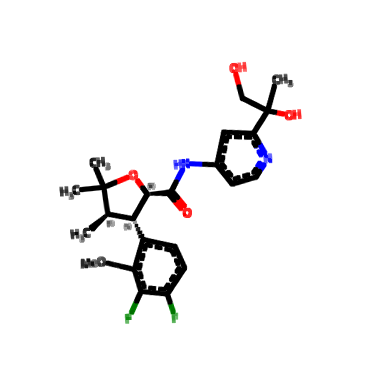 COc1c([C@@H]2[C@@H](C)C(C)(C)O[C@H]2C(=O)Nc2ccnc(C(C)(O)CO)c2)ccc(F)c1F